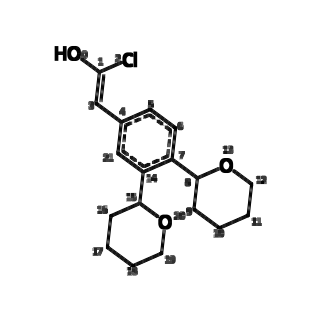 OC(Cl)=Cc1ccc(C2CCCCO2)c(C2CCCCO2)c1